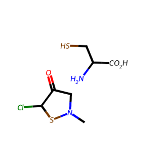 CN1CC(=O)C(Cl)S1.NC(CS)C(=O)O